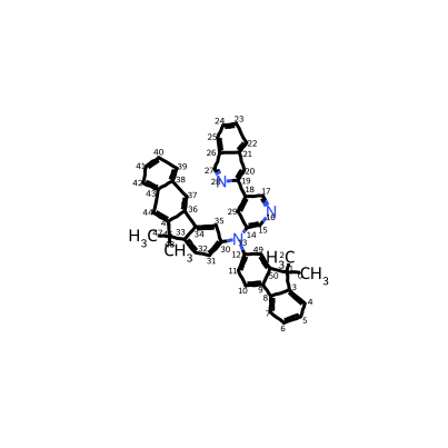 CC1(C)c2ccccc2-c2ccc(N(c3cncc(-c4cc5ccccc5cn4)c3)c3ccc4c(c3)-c3cc5ccccc5cc3C4(C)C)cc21